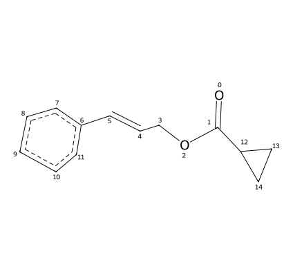 O=C(OC/C=C/c1ccccc1)C1CC1